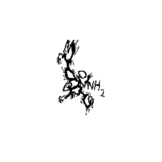 NC1=NC2(COC1)c1cc(-c3cccnc3F)ccc1Oc1c2cc(C2=CCCOC2)nc1F